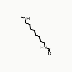 CNCCCCCCCCN[C]=O